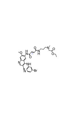 CCOC(=O)CN(C)CCCNC(=O)/C=C/C(=O)Nc1cc2c(Nc3cccc(Br)c3)c(C#N)cnc2cc1OC